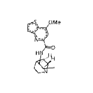 COc1cc(C(=O)N[C@@H]2C3CCN(CC3)[C@H]2C)nc2ccsc12